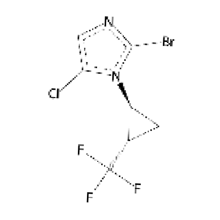 FC(F)(F)[C@H]1C[C@@H]1n1c(Cl)cnc1Br